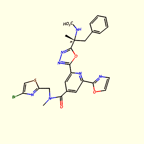 CN(Cc1nc(Br)cs1)C(=O)c1cc(-c2ncco2)nc(-c2nnc([C@@](C)(Cc3ccccc3)NC(=O)O)o2)c1